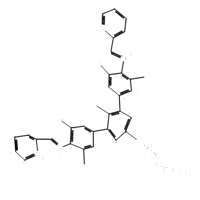 Br.Br.Br.Br.Cc1cc(-c2cc(C(C)C)cc(-c3cc(C)c(N=Cc4ccccn4)c(C)c3)c2C)cc(C)c1N=Cc1ccccn1.[Ni].[Ni]